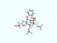 CC(C)=CC[C@@H]1C[C@@]2(CC=C(C)C)C(=O)[C@@](C(=O)c3ccccc3)(C(=O)C3=C2O[C@H](C(C)(C)O)C3)C1(C)C